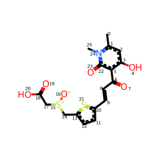 Cc1cc(O)c(C(=O)/C=C/c2ccc(C[S+]([O-])CC(=O)O)s2)c(=O)n1C